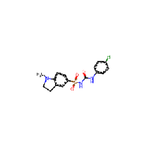 CN1CCc2cc(S(=O)(=O)NC(=O)Nc3ccc(Cl)cc3)ccc21